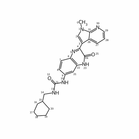 Cn1cc(-c2nc3ccc(NC(=O)NCC4CCCCC4)cc3[nH]c2=O)c2cccnc21